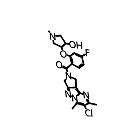 Cc1nc2c3c(nn2c(C)c1Cl)CN(C(=O)c1ccc(F)cc1OC1CN(C)CC1O)C3